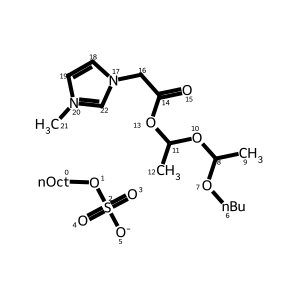 CCCCCCCCOS(=O)(=O)[O-].CCCCOC(C)OC(C)OC(=O)Cn1cc[n+](C)c1